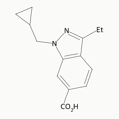 CCc1nn(CC2CC2)c2cc(C(=O)O)ccc12